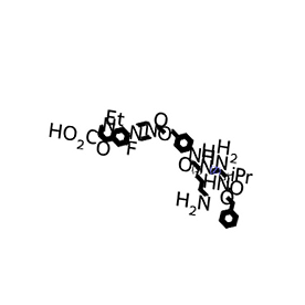 CCn1cc(C(=O)O)c(=O)c2cc(F)c(N3CCN(C(=O)OCc4ccc(NC(=O)[C@H](CCCCN)N/C=C(\N)[C@@H](NC(=O)OCc5ccccc5)C(C)C)cc4)CC3)cc21